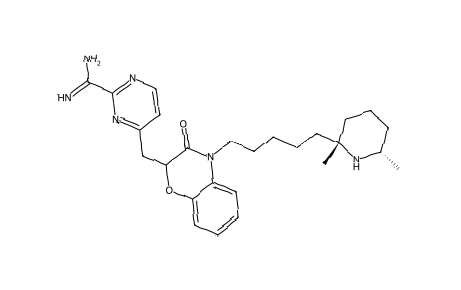 C[C@H]1CCC[C@@](C)(CCCCCN2C(=O)C(Cc3ccnc(C(=N)N)n3)Oc3ccccc32)N1